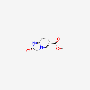 COC(=O)C1=CN2CC(=O)N=C2C=C1